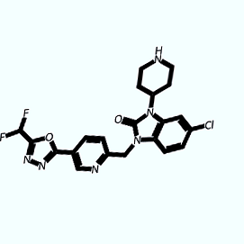 O=c1n(Cc2ccc(-c3nnc(C(F)F)o3)cn2)c2ccc(Cl)cc2n1C1CCNCC1